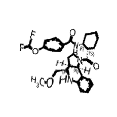 COC[C@@H]1Nc2ccccc2[C@H]2[C@@H]1CCN2C(=O)[C@H]1CCCC[C@H]1NC(=O)c1ccc(OC(F)F)cc1